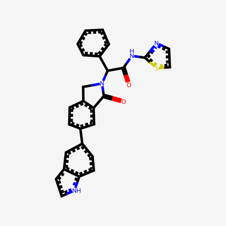 O=C(Nc1nccs1)C(c1ccccc1)N1Cc2ccc(-c3ccc4[nH]ccc4c3)cc2C1=O